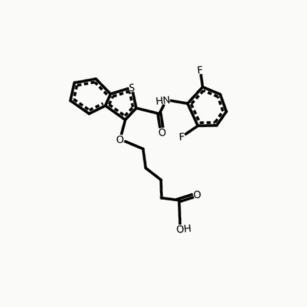 O=C(O)CCCCOc1c(C(=O)Nc2c(F)cccc2F)sc2ccccc12